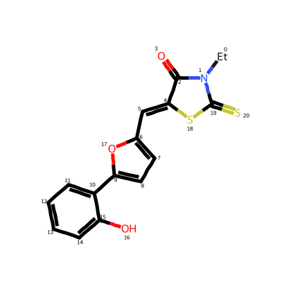 CCN1C(=O)C(=Cc2ccc(-c3ccccc3O)o2)SC1=S